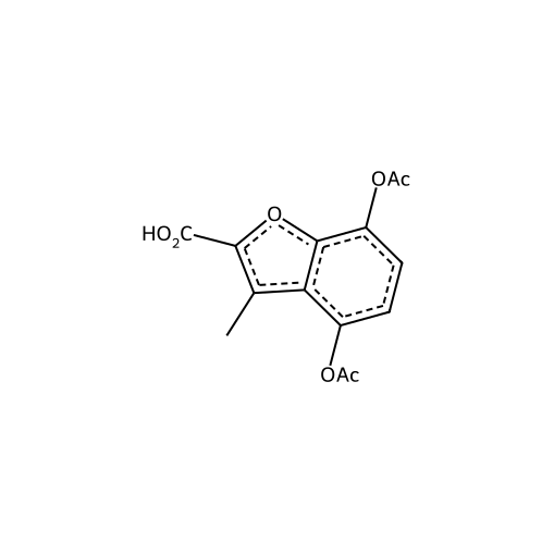 CC(=O)Oc1ccc(OC(C)=O)c2c(C)c(C(=O)O)oc12